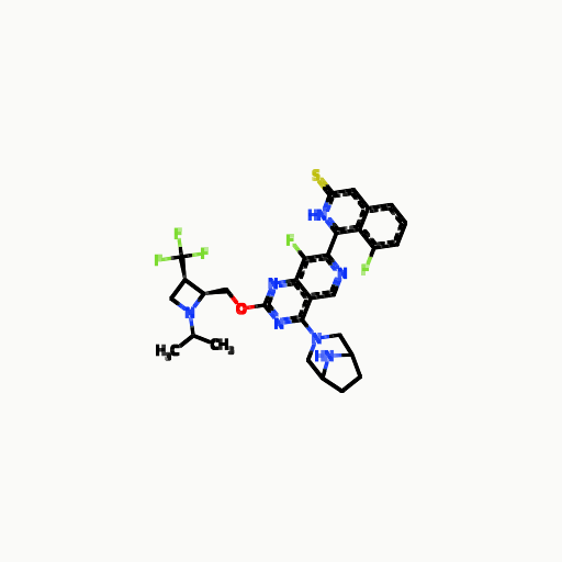 CC(C)N1C[C@@H](C(F)(F)F)[C@H]1COc1nc(N2CC3CCC(C2)N3)c2cnc(-c3[nH]c(=S)cc4cccc(F)c34)c(F)c2n1